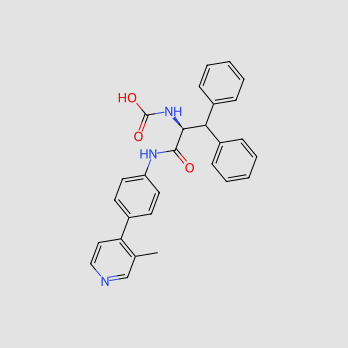 Cc1cnccc1-c1ccc(NC(=O)[C@@H](NC(=O)O)C(c2ccccc2)c2ccccc2)cc1